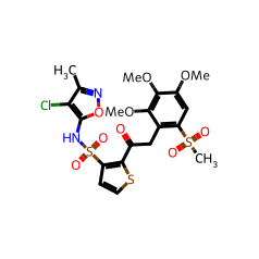 COc1cc(S(C)(=O)=O)c(CC(=O)c2sccc2S(=O)(=O)Nc2onc(C)c2Cl)c(OC)c1OC